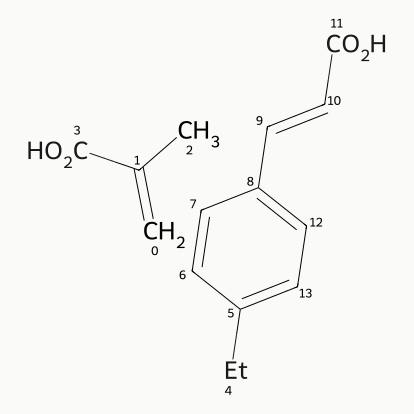 C=C(C)C(=O)O.CCc1ccc(C=CC(=O)O)cc1